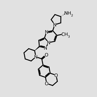 Cc1cn2nc([C@@H]3CCCCN3C(=O)c3ccc4c(c3)OCCO4)cc2nc1N1CC[C@H](N)C1